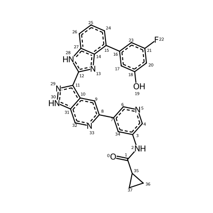 O=C(Nc1cncc(-c2cc3c(-c4nc5c(-c6cc(O)cc(F)c6)cccc5[nH]4)n[nH]c3cn2)c1)C1CC1